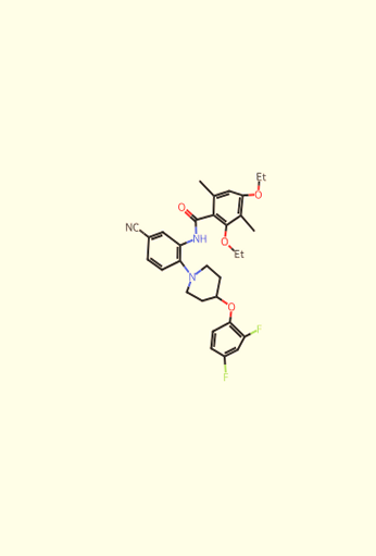 CCOc1cc(C)c(C(=O)Nc2cc(C#N)ccc2N2CCC(Oc3ccc(F)cc3F)CC2)c(OCC)c1C